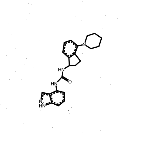 O=C(Nc1cccc2[nH]ncc12)NC1CCc2c1cccc2N1CCCCC1